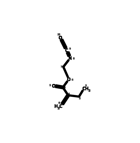 C=C(CC)C(=O)OCN=C=O